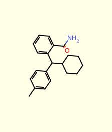 Cc1ccc(C(c2ccccc2C(N)=O)C2CCCCC2)cc1